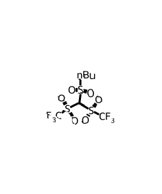 CCCCS(=O)(=O)C(S(=O)(=O)C(F)(F)F)S(=O)(=O)C(F)(F)F